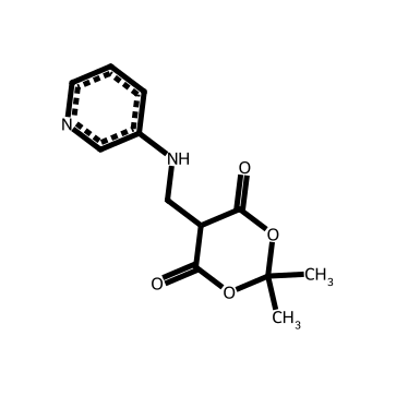 CC1(C)OC(=O)C(CNc2cccnc2)C(=O)O1